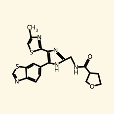 Cc1csc(-c2nc(CNC(=O)C3CCOC3)[nH]c2-c2ccc3ncsc3c2)n1